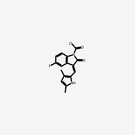 Cc1cc(C)c(C=C2C(=O)N(C(=O)Cl)c3ccc(F)cc32)[nH]1